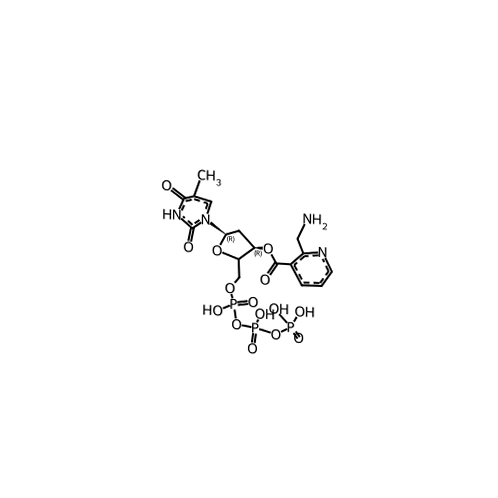 Cc1cn([C@H]2C[C@@H](OC(=O)c3cccnc3CN)C(COP(=O)(O)OP(=O)(O)OP(=O)(O)O)O2)c(=O)[nH]c1=O